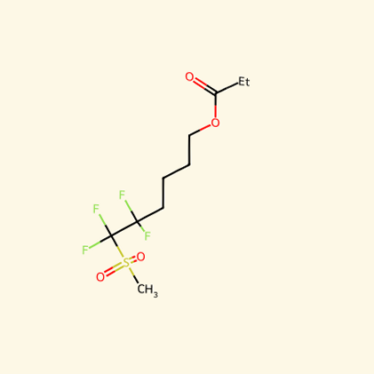 CCC(=O)OCCCCC(F)(F)C(F)(F)S(C)(=O)=O